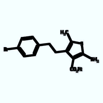 CCOC(=O)c1c(N)sc(C)c1CCc1ccc(Br)cc1